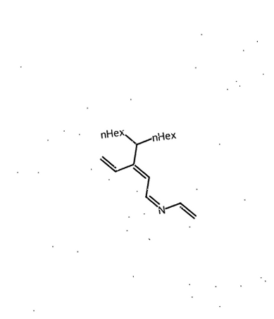 C=C/N=C\C=C(/C=C)C(CCCCCC)CCCCCC